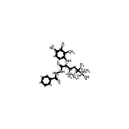 Cc1c(N[C@@H](C(=O)NNC(=O)c2ccccc2)[C@H](C)CC(C)(C)[Si](C)(C)O)ccc(C#N)c1Cl